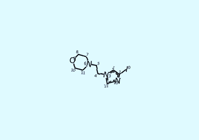 Ic1cn(CCN2CCOCC2)cn1